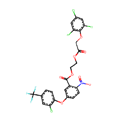 O=C(COc1c(Cl)cc(Cl)cc1Cl)OCCOC(=O)c1cc(Oc2ccc(C(F)(F)F)cc2Cl)ccc1[N+](=O)[O-]